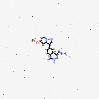 CC(C)Oc1ccn2ncc(-c3ccc4c(=O)[nH]nc(CN)c4c3)c2c1